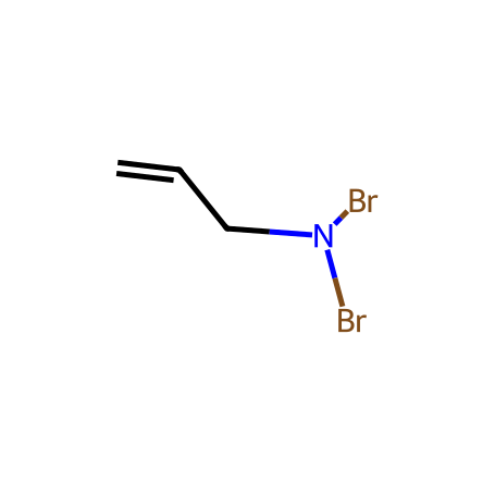 C=CCN(Br)Br